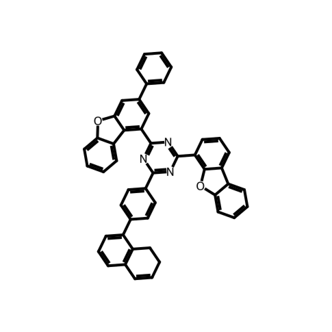 C1=Cc2cccc(-c3ccc(-c4nc(-c5cccc6c5oc5ccccc56)nc(-c5cc(-c6ccccc6)cc6oc7ccccc7c56)n4)cc3)c2CC1